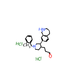 Cc1ccccc1CN1CCC(CCC=O)C(c2ccc3c(c2)CNCCC3)C1.Cl.Cl